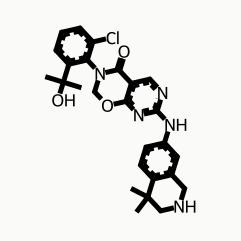 CC(C)(O)c1cccc(Cl)c1N1COc2nc(Nc3ccc4c(c3)CNCC4(C)C)ncc2C1=O